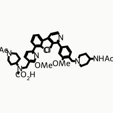 COc1cc(-c2nccc(-c3cccc(-c4ccc(CN(C(=O)O)C5CCN(C(C)=O)CC5)c(OC)n4)c3Cl)c2Cl)ccc1CN1CCC(NC(C)=O)CC1